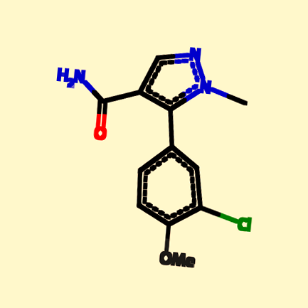 COc1ccc(-c2c(C(N)=O)cnn2C)cc1Cl